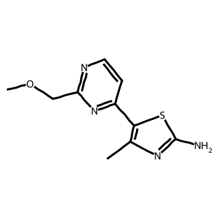 COCc1nccc(-c2sc(N)nc2C)n1